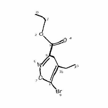 CCOC(=O)c1noc(Br)c1C